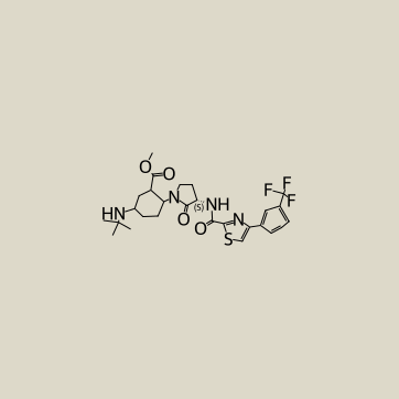 COC(=O)C1CC(NC(C)(C)C)CCC1N1CC[C@H](NC(=O)c2nc(-c3cccc(C(F)(F)F)c3)cs2)C1=O